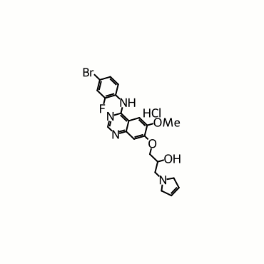 COc1cc2c(Nc3ccc(Br)cc3F)ncnc2cc1OCC(O)CN1CC=CC1.Cl